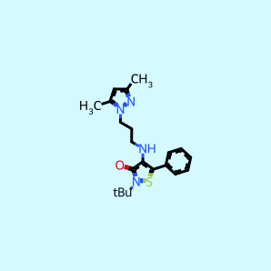 Cc1cc(C)n(CCCNc2c(-c3ccccc3)sn(C(C)(C)C)c2=O)n1